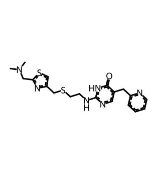 CN(C)Cc1nc(CSCCNc2ncc(Cc3ccccn3)c(=O)[nH]2)cs1